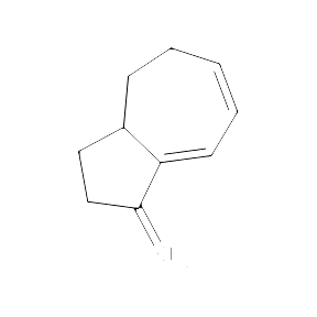 C=C1CCC2CCC=CC=C12